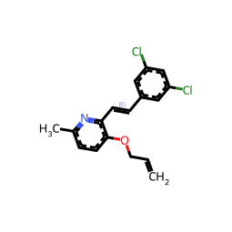 C=CCOc1ccc(C)nc1/C=C/c1cc(Cl)cc(Cl)c1